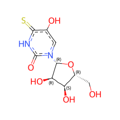 O=c1[nH]c(=S)c(O)cn1[C@@H]1O[C@H](CO)[C@@H](O)[C@H]1O